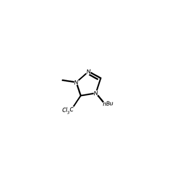 CCCCN1C=NN(C)C1C(Cl)(Cl)Cl